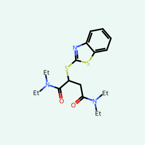 CCN(CC)C(=O)CC(Sc1nc2ccccc2s1)C(=O)N(CC)CC